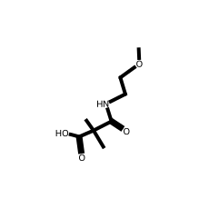 COCCNC(=O)C(C)(C)C(=O)O